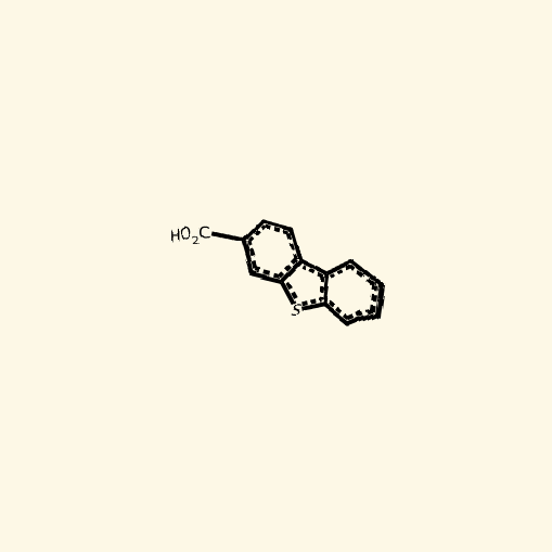 O=[13C](O)c1ccc2c(c1)sc1ccccc12